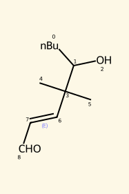 CCCCC(O)C(C)(C)/C=C/C=O